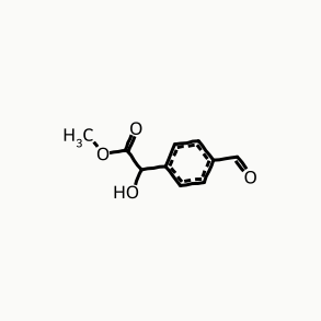 COC(=O)C(O)c1ccc(C=O)cc1